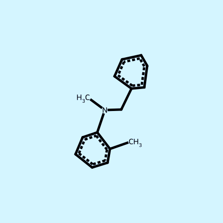 Cc1ccccc1N(C)Cc1ccccc1